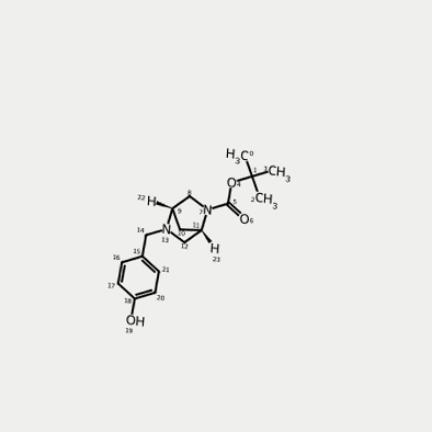 CC(C)(C)OC(=O)N1C[C@@H]2C[C@H]1CN2Cc1ccc(O)cc1